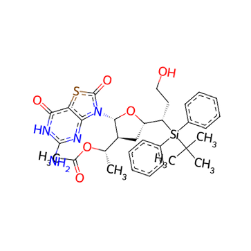 CC(=O)O[C@@H](C)[C@@H]1C[C@@H]([C@H](CCO)[Si](c2ccccc2)(c2ccccc2)C(C)(C)C)O[C@H]1n1c(=O)sc2c(=O)[nH]c(N)nc21